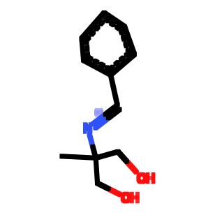 CC(CO)(CO)/N=C/c1ccccc1